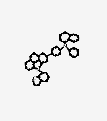 c1ccc(N(c2ccc(-c3cc4ccc5cccc6c5c4c(c3)n6-c3cccc4ccccc34)cc2)c2cccc3ccccc23)cc1